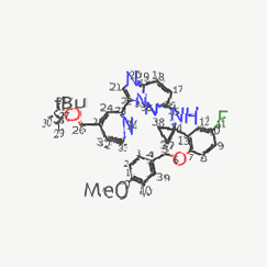 COc1ccc(COc2ccc(F)cc2C2(Nc3ccc4ncc(-c5cc(CO[Si](C)(C)C(C)(C)C)ccn5)n4n3)CC2)cc1